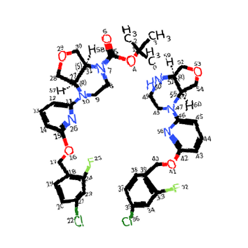 CC(C)(C)OC(=O)N1CCN(c2cccc(OCc3ccc(Cl)cc3F)n2)[C@H]2COC[C@H]21.Fc1cc(Cl)ccc1COc1cccc(N2CCN[C@H]3COC[C@H]32)n1